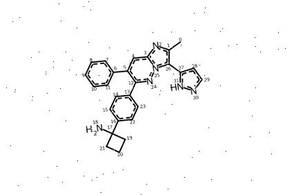 Cc1nc2cc(-c3ccccc3)c(-c3ccc(C4(N)CCC4)cc3)nn2c1-c1ccn[nH]1